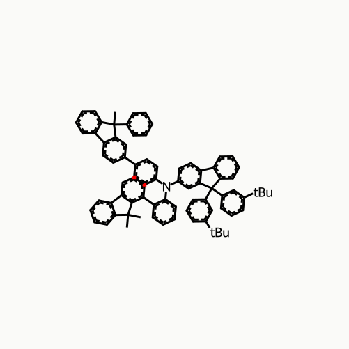 CC(C)(C)c1cccc(C2(c3cccc(C(C)(C)C)c3)c3ccccc3-c3ccc(N(c4ccc(-c5ccc6c(c5)C(C)(c5ccccc5)c5ccccc5-6)cc4)c4ccccc4-c4cccc5c4C(C)(C)c4ccccc4-5)cc32)c1